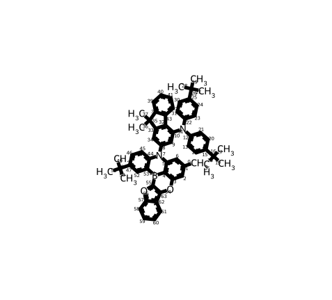 Cc1cc2c3c(c1)N(c1cc(N(c4ccc(C(C)(C)C)cc4)c4ccc(C(C)(C)C)cc4)c4c(c1)C(C)(C)c1ccccc1-4)c1ccc(C(C)(C)C)cc1B3c1oc3ccccc3c1O2